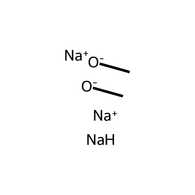 C[O-].C[O-].[Na+].[Na+].[NaH]